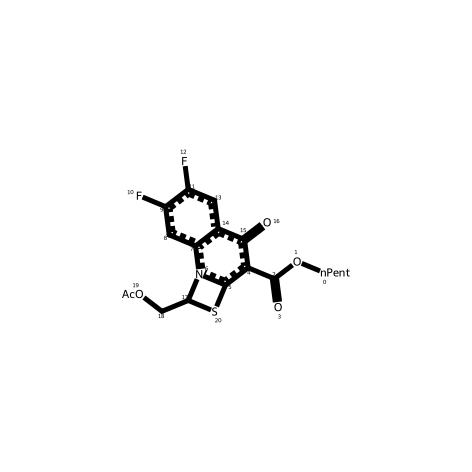 CCCCCOC(=O)c1c2n(c3cc(F)c(F)cc3c1=O)C(COC(C)=O)S2